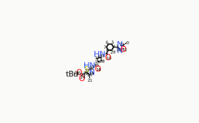 Cc1nc(-c2cccc(C(=O)N[C@H]3C[C@@H](C(=O)Nc4nc(C)c(C(=O)OC(C)(C)C)s4)C3)c2)no1